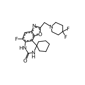 O=C1Nc2c(F)cc3nc(CN4CCC(F)(F)CC4)oc3c2C2(CCCCC2)N1